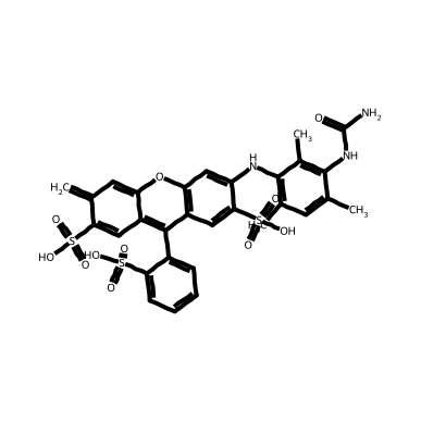 C=c1cc2c(cc1S(=O)(=O)O)=C(c1ccccc1S(=O)(=O)O)c1cc(S(=O)(=O)O)c(Nc3c(C)cc(C)c(NC(N)=O)c3C)cc1O2